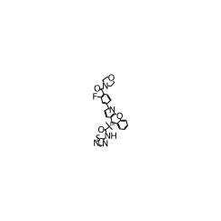 CC(C)(C(=O)Nc1ncns1)[C@H]1c2ccccc2Oc2nc(-c3ccc(C(=O)N4CCOCC4)c(F)c3)ccc21